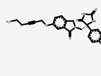 NCCC#CCOc1ccc2c(c1)C(=O)N(C[C@@]1(c3ccc(F)cc3)NC(=O)NC1=O)C2